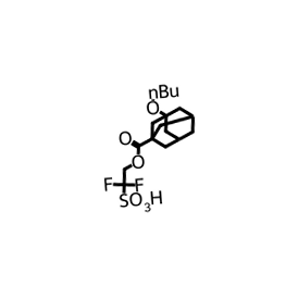 CCCCOC12CC3CC(C1)CC(C(=O)OCC(F)(F)S(=O)(=O)O)(C3)C2